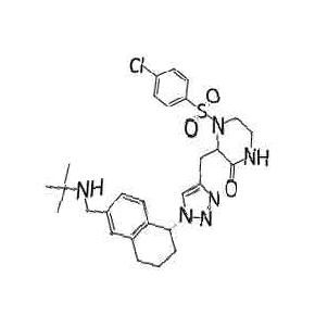 CC(C)(C)NCc1ccc2c(c1)CCC[C@H]2n1cc(CC2C(=O)NCCN2S(=O)(=O)c2ccc(Cl)cc2)nn1